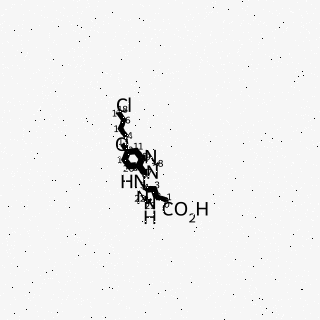 O=C(O)Cc1cc(Nc2ncnc3cc(OCCCCCl)ccc23)n[nH]1